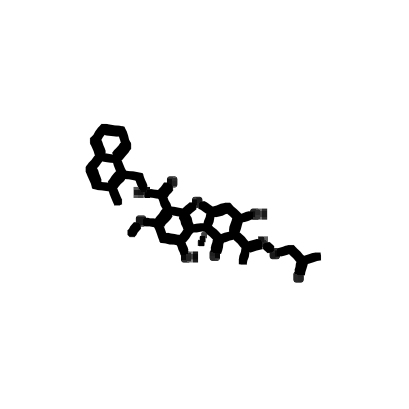 COc1cc(O)c2c(c1C(=O)NCc1c(C)ccc3ccccc13)OC1=CC(O)=C(C(C)=NOCC(C)=O)C(=O)[C@]12C